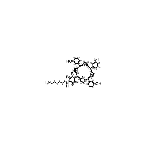 NCCCCCCNc1c(F)c(F)c(-c2c3nc(c(-c4cccc(O)c4)c4ccc([nH]4)c(-c4cccc(O)c4)c4nc(c(-c5cccc(O)c5)c5ccc2[nH]5)C=C4)C=C3)c(F)c1F